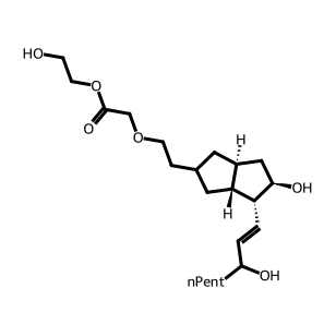 CCCCCC(O)C=C[C@@H]1[C@@H]2CC(CCOCC(=O)OCCO)C[C@H]2C[C@H]1O